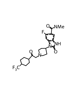 CNC(=O)c1cc2[nH]c(=O)n(C3CCN(CC(=O)C4CCC(C(F)(F)F)CC4)CC3)c2cc1F